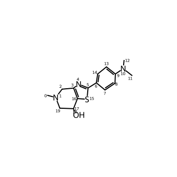 CN1Cc2nc(-c3ccc(N(C)C)cc3)sc2C(O)C1